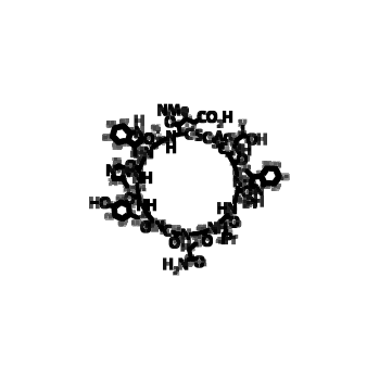 CN[C@@H](CC(=O)O)C(=O)C1CSCSCC(N[C@H](C(C)=O)[C@@H](C)O)C(=O)[C@H](Cc2c[nH]c3ccccc23)NC(=O)[C@H](C(C)C)NC(=O)[C@H](CC(C)C)NC(=O)[C@H](CCC(N)=O)NC(=O)CNC(=O)[C@H](Cc2ccc(O)cc2)NC(=O)[C@H](Cc2cnc[nH]2)NC(=O)[C@H](Cc2c[nH]c3ccccc23)NC(=O)[C@H](C)N1